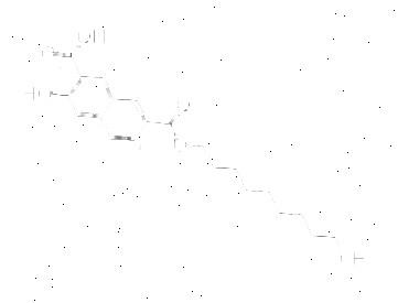 CCCCCCCCCCOC(=O)c1ccc2cc(O)c(C(=O)O)cc2c1